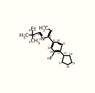 CC=C(/N=C/C(C)(C)CC)c1ccc(C2CCCC2)c(F)c1